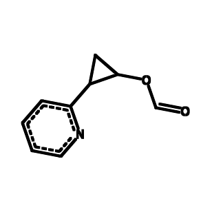 O=COC1CC1c1ccccn1